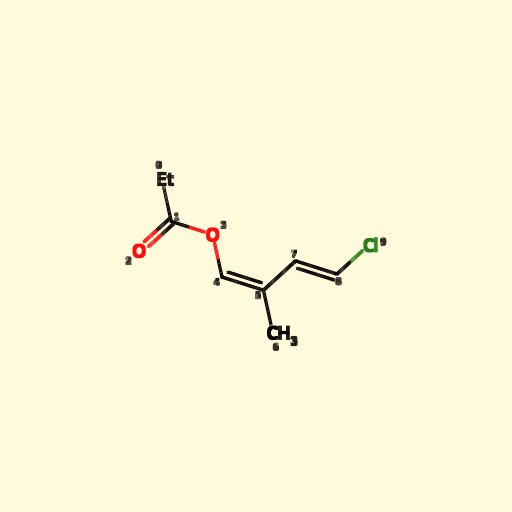 CCC(=O)OC=C(C)C=CCl